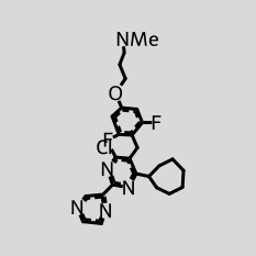 CNCCCOc1cc(F)c(Cc2c(Cl)nc(-c3cnccn3)nc2C2CCCCCC2)c(F)c1